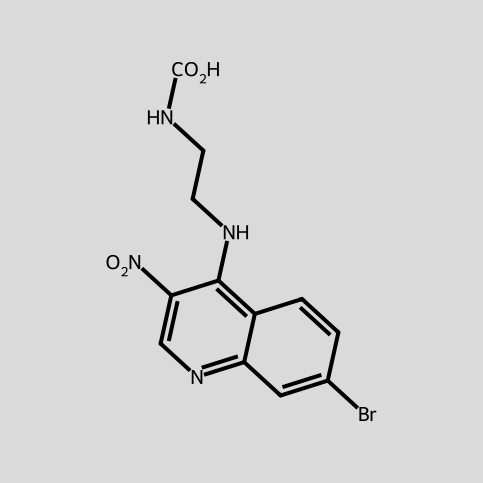 O=C(O)NCCNc1c([N+](=O)[O-])cnc2cc(Br)ccc12